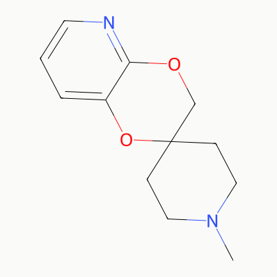 CN1CCC2(CC1)COc1ncccc1O2